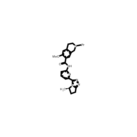 COc1cc2c(cc1C(=O)Nc1cccc(-c3nnc4n3[C@H](C)CC4)n1)CN(C(C)C)CC2